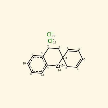 C1=CC[C]2(C=C1)CCc1cccc[c]1[Zr+2]2.[Cl-].[Cl-]